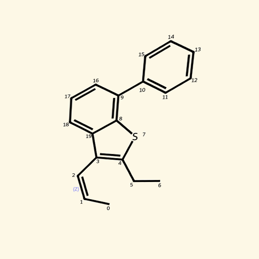 C/C=C\c1c(CC)sc2c(-c3ccccc3)cccc12